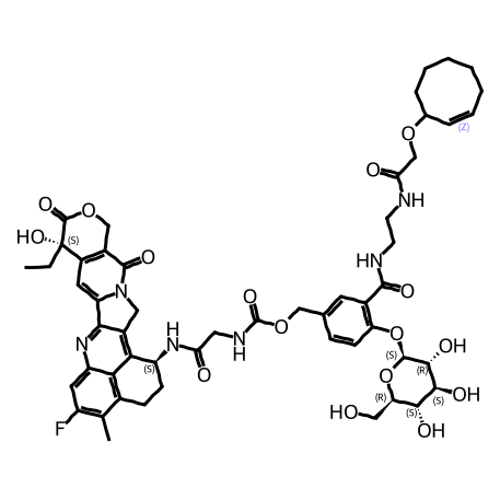 CC[C@@]1(O)C(=O)OCc2c1cc1n(c2=O)Cc2c-1nc1cc(F)c(C)c3c1c2[C@@H](NC(=O)CNC(=O)OCc1ccc(O[C@@H]2O[C@H](CO)[C@@H](O)[C@H](O)[C@H]2O)c(C(=O)NCCNC(=O)COC2/C=C\CCCCC2)c1)CC3